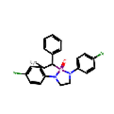 O=[N+]([O-])CC(c1ccccc1)P1(=O)N(c2ccc(Br)cc2)CCN1c1ccc(Br)cc1